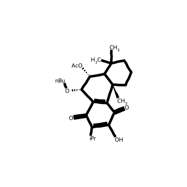 CCCCO[C@H]1C2=C(C(=O)C(O)=C(C(C)C)C2=O)[C@@]2(C)CCCC(C)(C)C2[C@H]1OC(C)=O